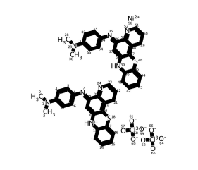 CN(C)c1ccc(N=C2C=C3NC4CC=CC=C4SC3=C3CC=CN=C23)cc1.CN(C)c1ccc(N=C2C=C3NC4CC=CC=C4SC3=C3CC=CN=C23)cc1.[Ni+2].[O-][Cl+3]([O-])([O-])[O-].[O-][Cl+3]([O-])([O-])[O-]